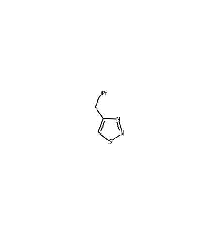 CC(C)Cc1csnn1